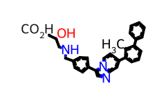 Cc1c(-c2ccccc2)cccc1-c1ccn2c(-c3ccc(CNCC(O)CC(=O)O)cc3)cnc2c1